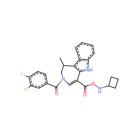 CC1CN(C(=O)c2ccc(F)c(F)c2)C=C(C(=O)ONC2CCC2)c2[nH]c3ccccc3c21